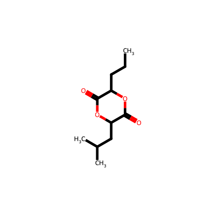 CCCC1OC(=O)C(CC(C)C)OC1=O